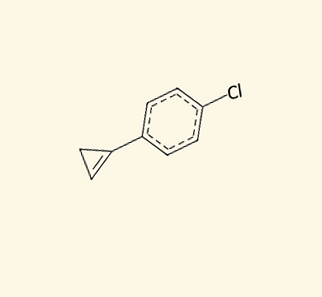 Clc1ccc(C2=CC2)cc1